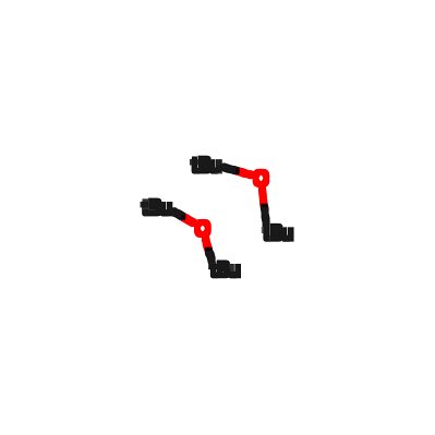 CC(C)(C)OC(C)(C)C.CC(C)(C)OC(C)(C)C